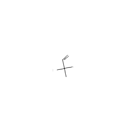 CCC(C)(C=S)C(C)C